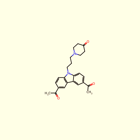 CC(=O)c1ccc2c(c1)c1cc(C(C)=O)ccc1n2CCCN1CCC(=O)CC1